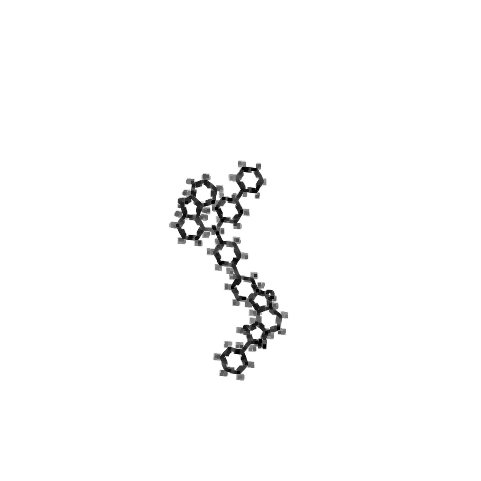 c1ccc(-c2ccc(N(c3ccc(-c4ccc5c(c4)oc4ccc6nc(-c7ccccc7)sc6c45)cc3)c3cccc4sc5ccccc5c34)cc2)cc1